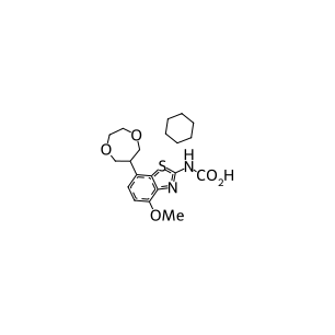 C1CCCCC1.COc1ccc(C2COCCOC2)c2sc(NC(=O)O)nc12